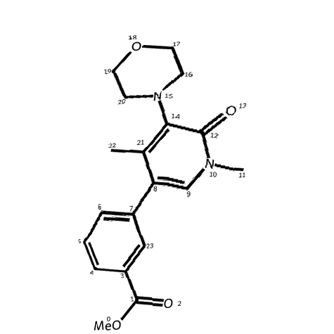 COC(=O)c1cccc(-c2cn(C)c(=O)c(N3CCOCC3)c2C)c1